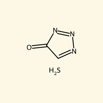 O=C1C=NN=N1.S